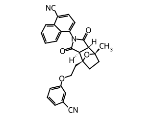 C[C@@]12CC[C@@](CCOc3cccc(C#N)c3)(O1)[C@H]1C(=O)N(c3ccc(C#N)c4ccccc34)C(=O)[C@H]12